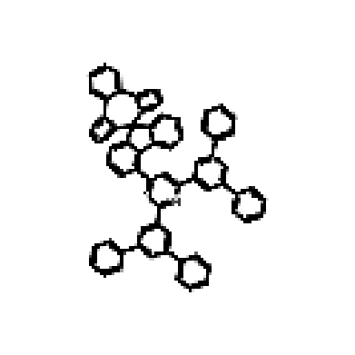 c1ccc(-c2cc(-c3ccccc3)cc(-c3cc(-c4cccc5c4-c4ccccc4C54c5ccccc5-c5ccccc5-c5ccccc54)nc(-c4cc(-c5ccccc5)cc(-c5ccccc5)c4)n3)c2)cc1